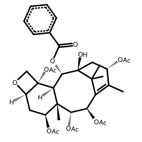 CC(=O)O[C@H]1C[C@@]2(O)[C@@H](OC(=O)c3ccccc3)[C@@H]3[C@]4(OC(C)=O)CO[C@@H]4C[C@H](OC(C)=O)[C@@]3(C)[C@@H](OC(C)=O)[C@H](OC(C)=O)C(=C1C)C2(C)C